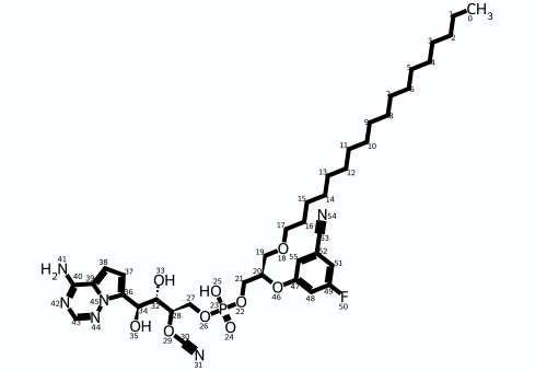 CCCCCCCCCCCCCCCCCCOC[C@H](COP(=O)(O)OC[C@@H](OC#N)[C@@H](O)[C@@H](O)c1ccc2c(N)ncnn12)Oc1cc(F)cc(C#N)c1